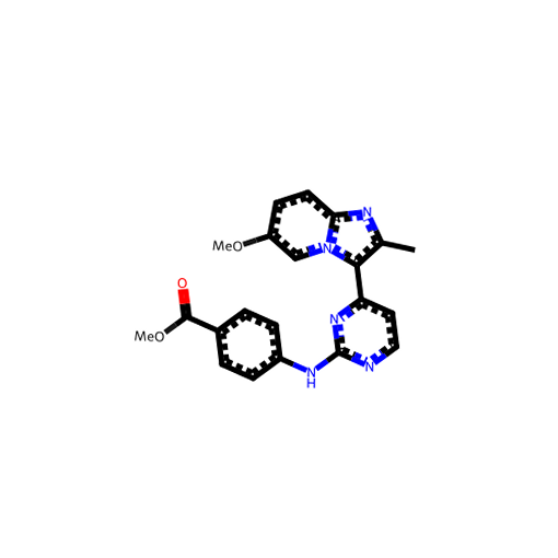 COC(=O)c1ccc(Nc2nccc(-c3c(C)nc4ccc(OC)cn34)n2)cc1